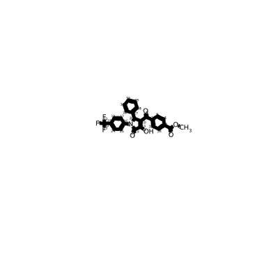 COC(=O)c1ccc(C(=O)C2=C(O)C(=O)N(c3ccc(C(F)(F)F)cc3)C2c2ccccc2)cc1